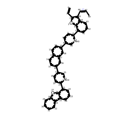 C=Cc1oc2c(-c3ccc(-c4ccc5ccc(-c6ccc(-c7cccc8c7oc7ccccc78)nc6)cc5c4)cn3)cccc2c1/C=C\C